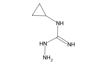 N=C(NN)NC1CC1